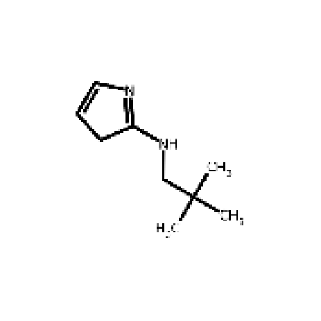 CC(C)(C)CNC1=NC=CC1